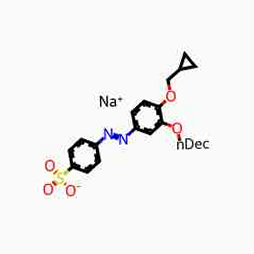 CCCCCCCCCCOc1cc(N=Nc2ccc(S(=O)(=O)[O-])cc2)ccc1OCC1CC1.[Na+]